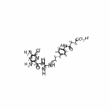 N=C(NCCCCc1ccc(NC(=O)CCC(=O)O)cc1)NC(=O)c1nc(Cl)c(N)nc1N